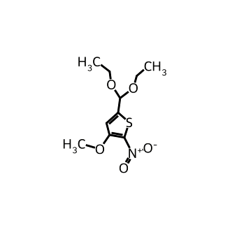 CCOC(OCC)c1cc(OC)c([N+](=O)[O-])s1